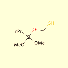 CCC[Si](OC)(OC)OCS